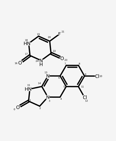 O=C1CN2Cc3c(ccc(Cl)c3Cl)N=C2N1.O=c1[nH]cc(F)c(=O)[nH]1